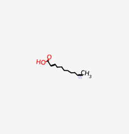 C/C=C\CCCCCCC=CC(=O)O